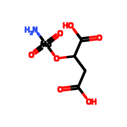 [NH2][Mo](=[O])(=[O])[O]C(CC(=O)O)C(=O)O